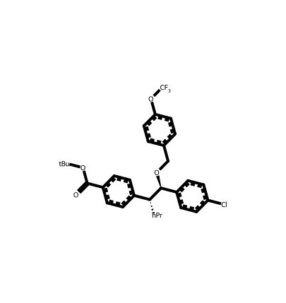 CCC[C@H](c1ccc(C(=O)OC(C)(C)C)cc1)[C@@H](OCc1ccc(OC(F)(F)F)cc1)c1ccc(Cl)cc1